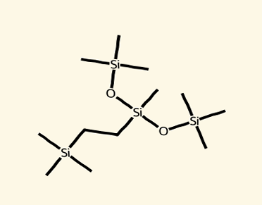 C[Si](C)(C)CC[Si](C)(O[Si](C)(C)C)O[Si](C)(C)C